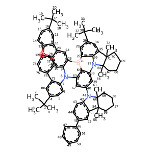 CC(C)(C)c1ccc(N2c3cc4oc5ccc(C(C)(C)C)cc5c4cc3B3c4cc(C(C)(C)C)cc5c4N(c4cc(N6c7ccc(-c8ccccc8)cc7C7(C)CCCCC67C)cc2c43)C2(C)CCCCC52C)c(-c2ccccc2)c1